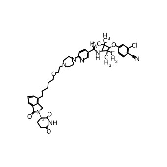 CC1(C)[C@H](NC(=O)c2ccc(N3CCN(CCOCCCCCc4cccc5c4CN([C@H]4CCC(=O)NC4=O)C5=O)CC3)nc2)C(C)(C)[C@H]1Oc1ccc(C#N)c(Cl)c1